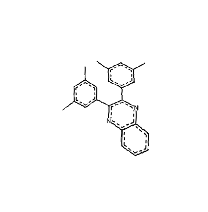 Cc1cc(C)cc(-c2nc3ccccc3nc2-c2cc(C)cc(C)c2)c1